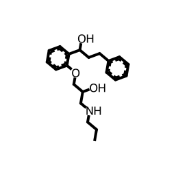 CCCNCC(O)COc1ccccc1C(O)CCc1ccccc1